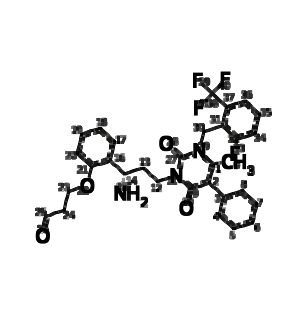 Cc1c(-c2ccccc2)c(=O)n(CC[C@H](N)c2ccccc2OCCC=O)c(=O)n1Cc1c(F)cccc1C(F)(F)F